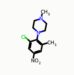 Cc1cc([N+](=O)[O-])cc(Cl)c1N1CCN(C)CC1